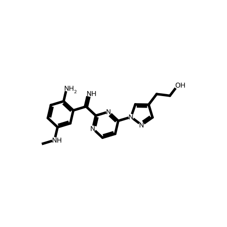 CNc1ccc(N)c(C(=N)c2nccc(-n3cc(CCO)cn3)n2)c1